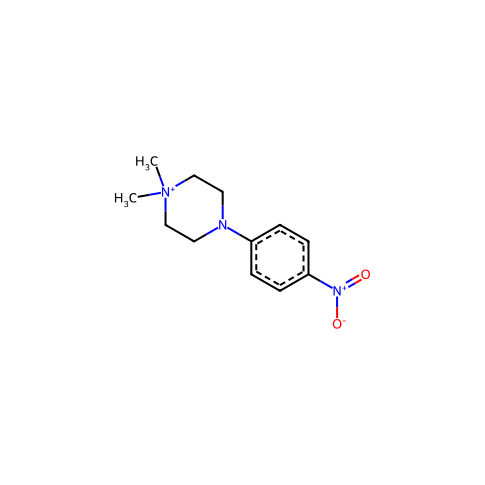 C[N+]1(C)CCN(c2ccc([N+](=O)[O-])cc2)CC1